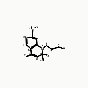 CCCCN1c2cc(OC)ccc2C(C)=CC1(C)C